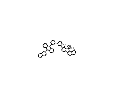 CC1(C)c2c(ccc3ccccc23)-c2ccc3c(oc4ccc(-c5cccc(-c6c7ccccc7c(-c7ccc8ccccc8c7)c7ccccc67)c5)cc43)c21